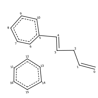 C=CCC=Cc1ccccc1.c1ccccc1